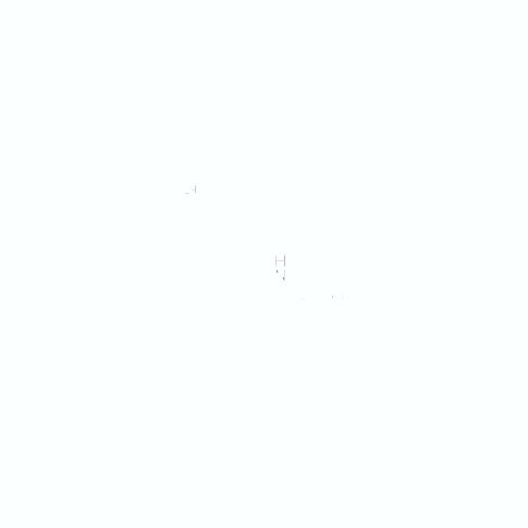 CC1CC(=O)NC1CCCBr